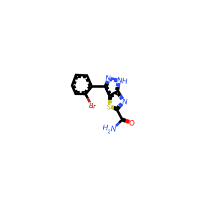 NC(=O)c1nc2[nH]nc(-c3ccccc3Br)c2s1